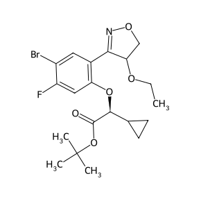 CCOC1CON=C1c1cc(Br)c(F)cc1O[C@H](C(=O)OC(C)(C)C)C1CC1